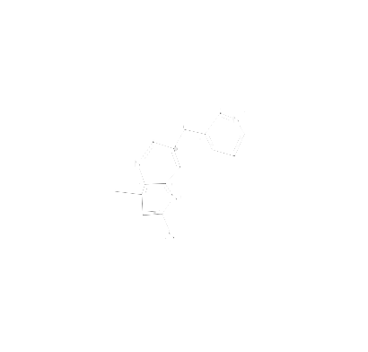 Cc1cc(N)nc2cc(Cc3cccnc3)cnc12